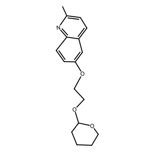 Cc1ccc2cc(OCCOC3CCCCO3)ccc2n1